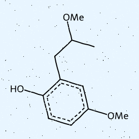 COc1ccc(O)c(CC(C)OC)c1